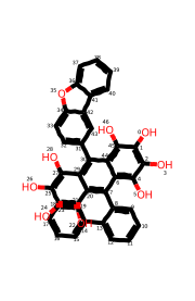 Oc1c(O)c(O)c2c(-c3ccccc3-c3ccccc3)c3c(O)c(O)c(O)c(O)c3c(-c3ccc4oc5ccccc5c4c3)c2c1O